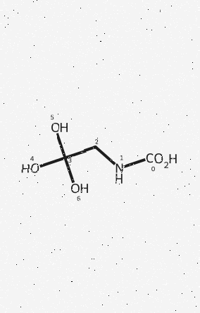 O=C(O)NCC(O)(O)O